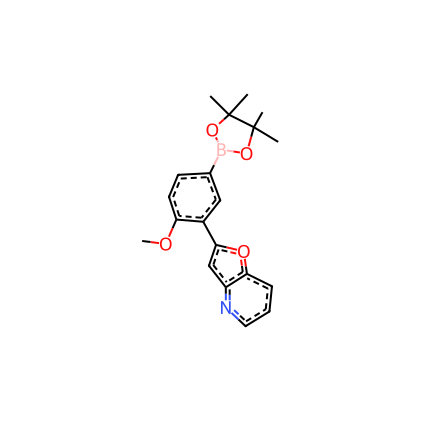 COc1ccc(B2OC(C)(C)C(C)(C)O2)cc1-c1cc2ncccc2o1